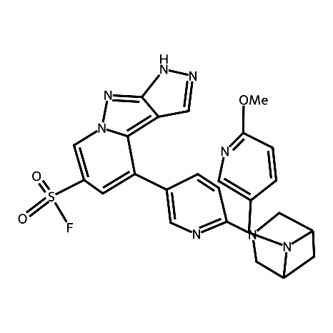 COc1ccc(CN2C3CC2CN(c2ccc(-c4cc(S(=O)(=O)F)cn5nc6[nH]ncc6c45)cn2)C3)cn1